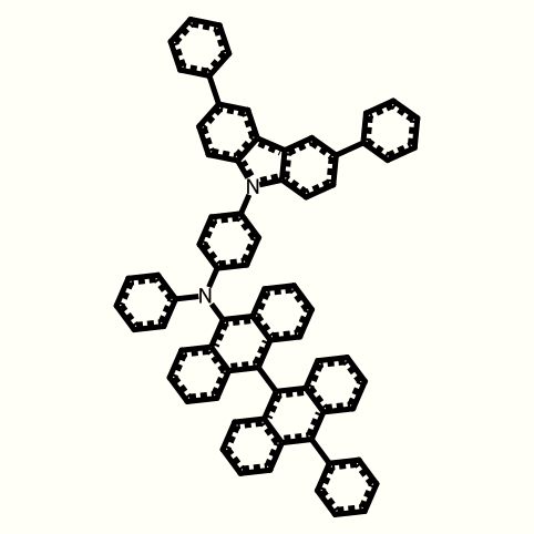 c1ccc(-c2ccc3c(c2)c2cc(-c4ccccc4)ccc2n3-c2ccc(N(c3ccccc3)c3c4ccccc4c(-c4c5ccccc5c(-c5ccccc5)c5ccccc45)c4ccccc34)cc2)cc1